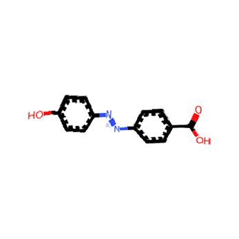 O=C(O)c1ccc(/N=N/c2ccc(O)cc2)cc1